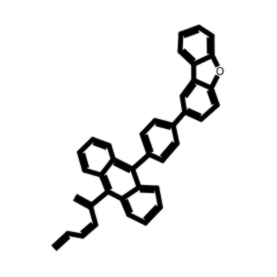 C=C/C=C\C(=C)c1c2ccccc2c(-c2ccc(-c3ccc4oc5ccccc5c4c3)cc2)c2ccccc12